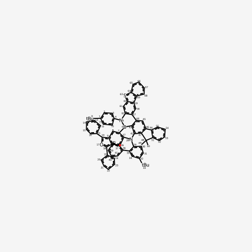 CC(C)(C)c1ccc(N2B3c4cc5c(-c6ccccc6)oc(-c6ccccc6)c5cc4N(c4ccc(C(C)(C)C)cc4-c4ccccc4)c4c3c(cc3c4C(C)(C)c4ccccc4-3)-c3cc4c(cc32)sc2ccccc24)cc1